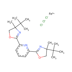 CC(C)(C)C1(C)COC(c2cccc(C3=NC(C)(C(C)(C)C)CO3)n2)=N1.[Cl-].[Cl-].[Cl-].[Fe+3]